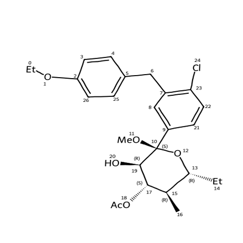 CCOc1ccc(Cc2cc([C@]3(OC)O[C@H](CC)[C@@H](C)[C@H](OC(C)=O)[C@H]3O)ccc2Cl)cc1